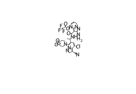 CC(NC(=O)c1c(N)nn2c1N(OC(=O)C(F)(F)F)C=CC2)c1cc(Cl)c2c(C#N)cnn2c1N1CCS(=O)(=O)CC1